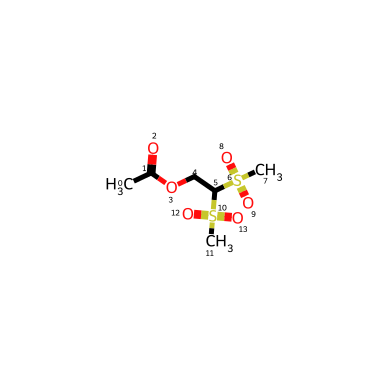 CC(=O)OCC(S(C)(=O)=O)S(C)(=O)=O